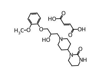 COc1ccccc1OCC(O)CN1CCC(N2CCCNC2=O)CC1.O=C(O)C=CC(=O)O